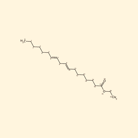 CCCCCCC=CCC=CCCCCCCC(=O)OCC